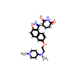 CN1CCC(N(C)CCOc2ccc3c(ccc4onc([C@@H]5CCC(=O)NC5=O)c43)c2)CC1